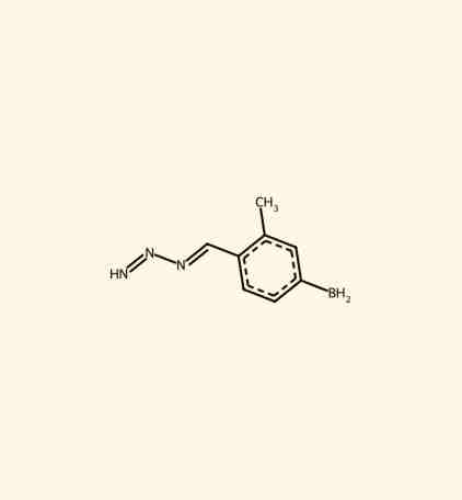 Bc1ccc(/C=N/N=N)c(C)c1